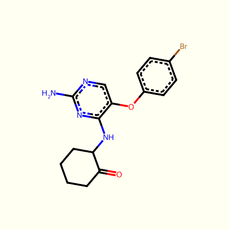 Nc1ncc(Oc2ccc(Br)cc2)c(NC2CCCCC2=O)n1